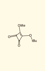 COc1c(OC(C)(C)C)c(=O)c1=O